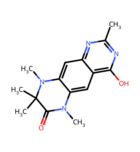 Cc1nc(O)c2cc3c(cc2n1)N(C)C(C)(C)C(=O)N3C